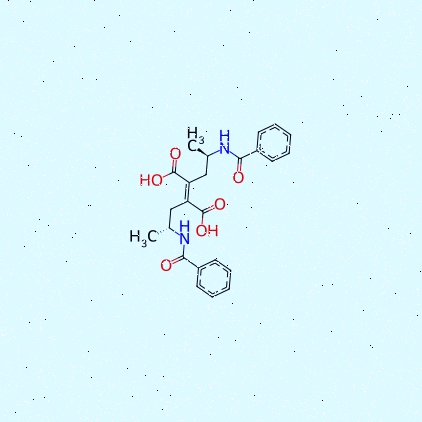 C[C@H](CC(C(=O)O)=C(C[C@@H](C)NC(=O)c1ccccc1)C(=O)O)NC(=O)c1ccccc1